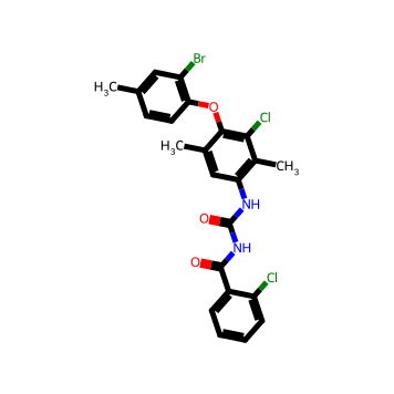 Cc1ccc(Oc2c(C)cc(NC(=O)NC(=O)c3ccccc3Cl)c(C)c2Cl)c(Br)c1